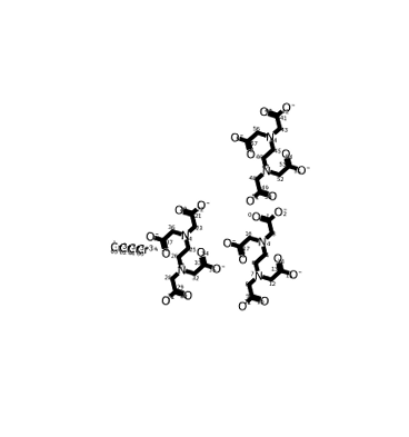 O=C([O-])CN(CCN(CC(=O)[O-])CC(=O)[O-])CC(=O)[O-].O=C([O-])CN(CCN(CC(=O)[O-])CC(=O)[O-])CC(=O)[O-].O=C([O-])CN(CCN(CC(=O)[O-])CC(=O)[O-])CC(=O)[O-].[Cr+3].[Cr+3].[Cr+3].[Cr+3]